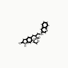 O=C1Cc2cc(CC(CNc3cnc4ccccc4c3)P3(=O)OCCO3)ccc2N1